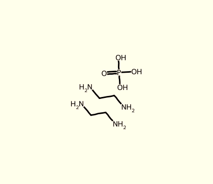 NCCN.NCCN.O=P(O)(O)O